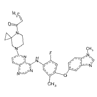 C=CC(=O)N1CCN(c2ccc3ncnc(Nc4cc(C)c(Oc5ccc6c(c5)ncn6C)cc4F)c3n2)CC12CC2